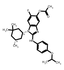 CC(=O)Oc1cc2nc(Nc3ccc(OC(C)C)cc3)n([C@@H]3C[C@H](C)CC(C)(C)C3)c2cc1F